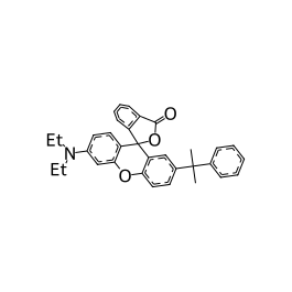 CCN(CC)c1ccc2c(c1)Oc1ccc(C(C)(C)c3ccccc3)cc1C21OC(=O)c2ccccc21